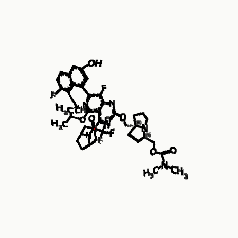 C#Cc1c(F)ccc2cc(O)cc(-c3nc(OC(C)C)c4c(N5CC6CCC(C5)N6C(=O)C(F)(F)F)nc(OC[C@]56CCCN5[C@@H](COC(=O)N(C)C)CC6)nc4c3F)c12